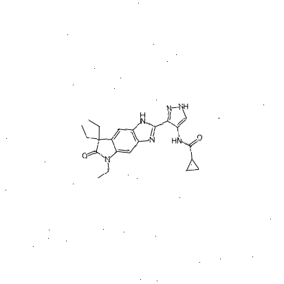 CCN1C(=O)C(CC)(CC)c2cc3[nH]c(-c4n[nH]cc4NC(=O)C4CC4)nc3cc21